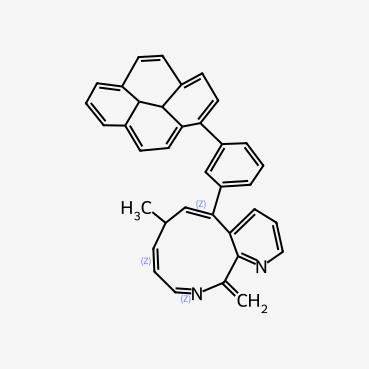 C=C1/N=C\C=C/C(C)/C=C(/c2cccc(C3=CC=C4C=CC5=CC=CC6=CC=C3C4C56)c2)c2cccnc21